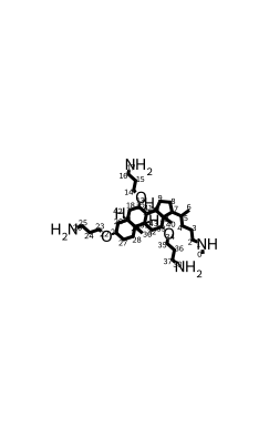 CNCCCC(C)C1CC[C@H]2C3[C@H](OCCCN)C[C@@H]4C[C@H](OCCCN)CCC4(C)[C@H]3C[C@H](OCCCN)C12C